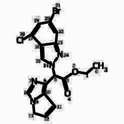 CCOC(=O)C(c1ncn2c1C=CC2)n1cc2c(Cl)cc(Br)cc2n1